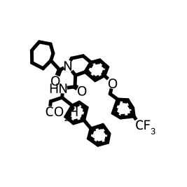 O=C(O)CC(NC(=O)C1c2cc(OCc3ccc(C(F)(F)F)cc3)ccc2CCN1C(=O)C1CCCCCC1)c1ccc(-c2ccccc2)cc1